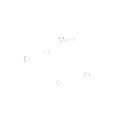 CCOC(=O)C(C)(CC)OC